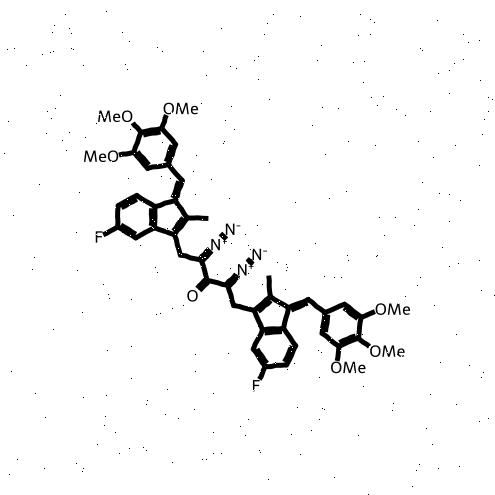 COc1cc(/C=C2/C(C)=C(CC(=[N+]=[N-])C(=O)C(CC3=C(C)/C(=C/c4cc(OC)c(OC)c(OC)c4)c4ccc(F)cc43)=[N+]=[N-])c3cc(F)ccc32)cc(OC)c1OC